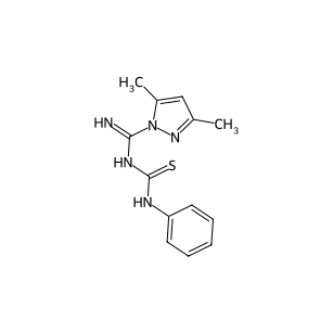 Cc1cc(C)n(C(=N)NC(=S)Nc2ccccc2)n1